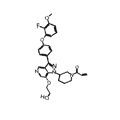 C=CC(=O)N1CCCC(n2nc(-c3ccc(Oc4cccc(OC)c4F)cc3)c3cncc(OCCO)c32)C1